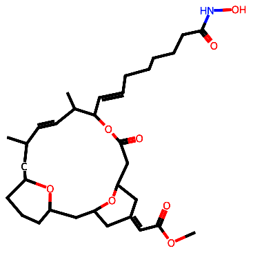 COC(=O)/C=C1\CC2CC(=O)OC(/C=C/CCCCCC(=O)NO)C(C)/C=C/C(C)CC3CCCC(CC(C1)O2)O3